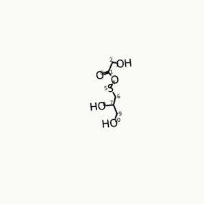 O=C(CO)OSCC(O)CO